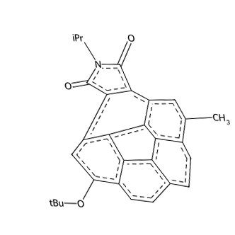 Cc1cc2c3c(=O)n(C(C)C)c(=O)c3c3cc(OC(C)(C)C)c4ccc5ccc1c1c5c4c3c21